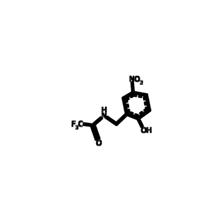 O=C(NCc1cc([N+](=O)[O-])ccc1O)C(F)(F)F